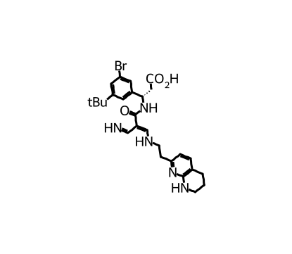 CC(C)(C)c1cc(Br)cc([C@H](CC(=O)O)NC(=O)/C(C=N)=C/NCCc2ccc3c(n2)NCCC3)c1